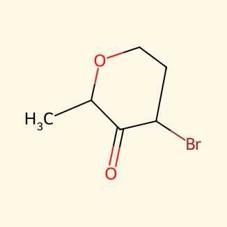 CC1OCCC(Br)C1=O